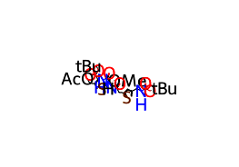 CO[C@@]1(NC(=O)Cc2cc(CNC(=O)OC(C)(C)C)cs2)C(=O)N2C(C(=O)OC(C)(C)C)=C(COC(C)=O)CS[C@H]21